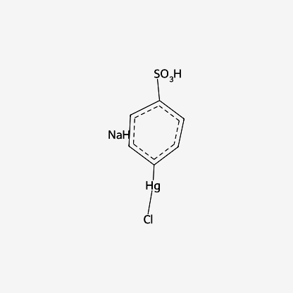 O=S(=O)(O)c1cc[c]([Hg][Cl])cc1.[NaH]